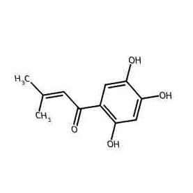 CC(C)=CC(=O)c1cc(O)c(O)cc1O